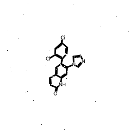 O=c1ccc2cc(-c3ccc(Cl)cc3Cl)c(-n3ccnc3)cc2[nH]1